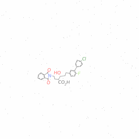 O=C(O)[C@H](CCN1C(=O)c2ccccc2C1=O)[C@H](O)CCc1ccc(F)c(-c2ccc(Cl)cc2)c1